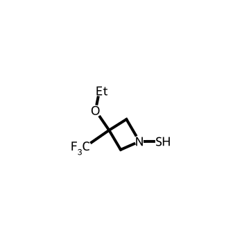 CCOC1(C(F)(F)F)CN(S)C1